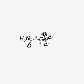 NC(=O)C[CH2][Ge]([Br])([Br])[Br]